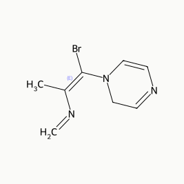 C=N/C(C)=C(/Br)N1C=CN=CC1